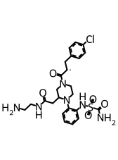 NCCNC(=O)CC1CN(C(=O)[CH]Cc2ccc(Cl)cc2)CCN1c1ccccc1NS(=O)(=O)C(N)=O